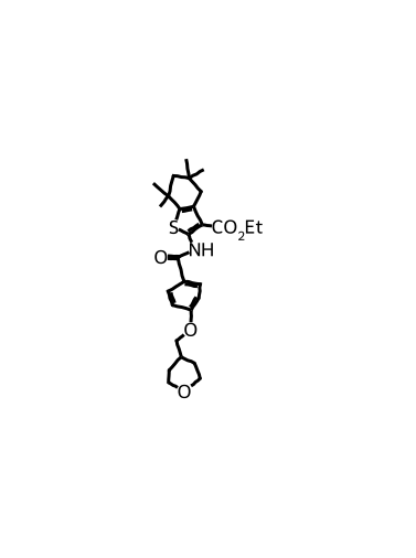 CCOC(=O)c1c(NC(=O)c2ccc(OCC3CCOCC3)cc2)sc2c1CC(C)(C)CC2(C)C